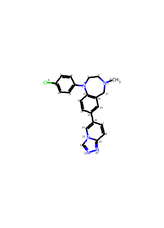 CN1CCN(c2ccc(Cl)cc2)c2ccc(-c3ccc4nncn4c3)cc2C1